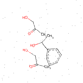 CC(=O)CO.CC(=O)CO.CC(O)c1ccccc1